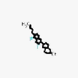 CC=CCCc1ccc2cc(C3CCC4CC(CC)CCC4C3)c(F)cc2c1F